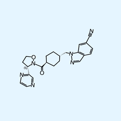 N#Cc1ccc2cnn(C[C@H]3CC[C@H](C(=O)N4OCC[C@H]4c4cnccn4)CC3)c2c1